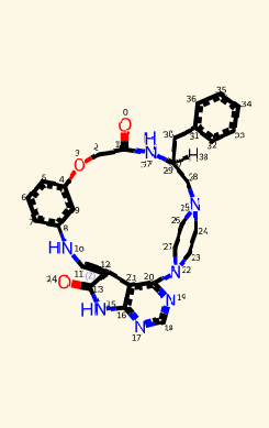 O=C1COc2cccc(c2)N/C=C2\C(=O)Nc3ncnc(c32)N2CCN(CC2)C[C@@H](Cc2ccccc2)N1